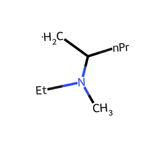 [CH2]C(CCC)N(C)CC